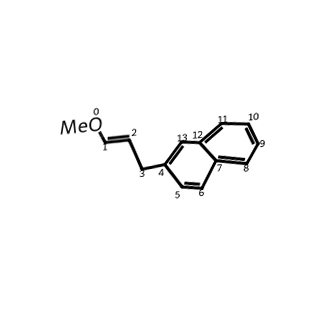 COC=CCc1ccc2ccccc2c1